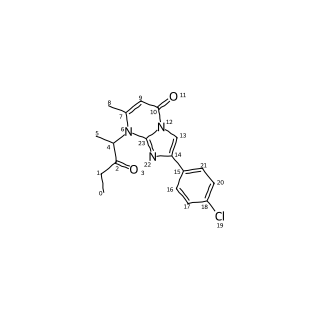 CCC(=O)C(C)n1c(C)cc(=O)n2cc(-c3ccc(Cl)cc3)nc12